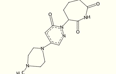 CN1CCN(c2cnn(C3CCCC(=O)NC3=O)c(=O)c2)CC1